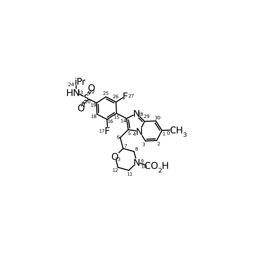 Cc1ccn2c(CC3CN(C(=O)O)CCO3)c(-c3c(F)cc(S(=O)(=O)NC(C)C)cc3F)nc2c1